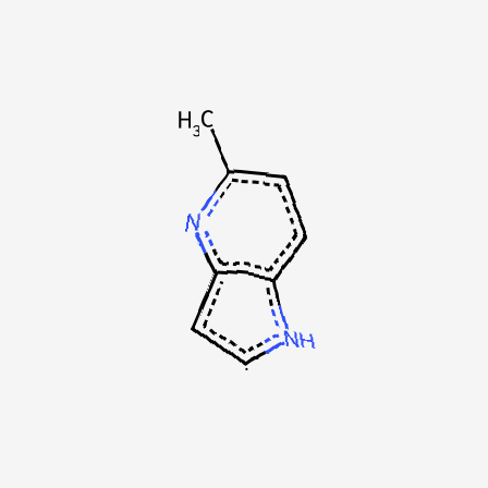 Cc1ccc2[nH][c]cc2n1